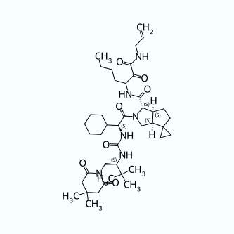 C=CCNC(=O)C(=O)C(CCCC)NC(=O)[C@@H]1[C@H]2CCC3(CC3)[C@H]2CN1C(=O)[C@@H](NC(=O)N[C@H](CN1C(=O)CC(C)(C)CC1=O)C(C)(C)C)C1CCCCC1